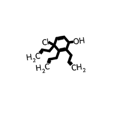 C=CCC1=C(CC=C)C(Cl)(CC=C)C=CC1O